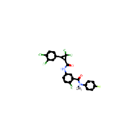 CN(C(=O)c1cc(NC(=O)C2C(c3ccc(Cl)c(Cl)c3)C2(Cl)Cl)ccc1Cl)c1ccc(F)cc1